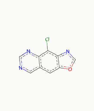 Clc1c2ncncc2cc2ocnc12